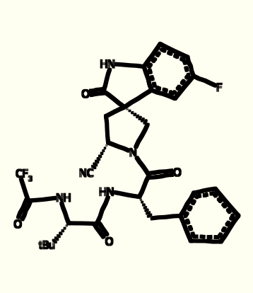 CC(C)(C)[C@H](NC(=O)C(F)(F)F)C(=O)N[C@@H](Cc1ccccc1)C(=O)N1C[C@]2(C[C@H]1C#N)C(=O)Nc1ccc(F)cc12